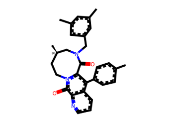 Cc1ccc(-c2c3n(c(=O)c4ncccc24)CC[C@@H](C)CN(Cc2cc(C)cc(C)c2)C3=O)cc1